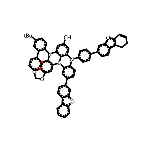 Cc1cc2c3c(c1)N(c1ccc(C(C)(C)C)cc1-c1ccccc1)c1cc4c(cc1B3c1cc(-c3ccc5c(c3)oc3ccccc35)ccc1N2c1ccc(-c2ccc3c5c(oc3c2)C=CCC5)cc1)OCO4